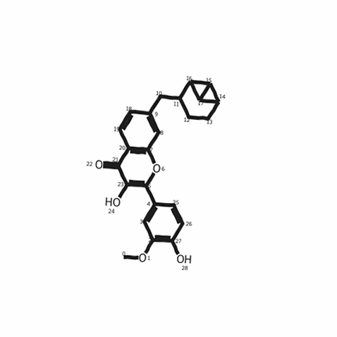 COc1cc(-c2oc3cc(CC4CCC5C6C4C56)ccc3c(=O)c2O)ccc1O